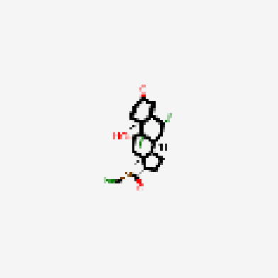 C[C@]12C[C@H](O)[C@@]3(F)[C@@H](C[C@H](F)C4=CC(=O)C=C[C@@]43C)C1CC[C@@H]2C(=O)SCF